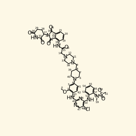 COc1cc(N2CCC(CN3CCN(CC(=O)Nc4cccc5c4C(=O)N(C4CCC(=O)NC4=O)C5=O)CC3)CC2)ccc1Nc1ncc(Cl)c(Nc2ccccc2N(C)S(C)(=O)=O)n1